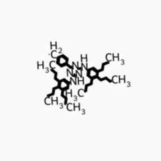 [CH2]c1ccc(-c2nc(Nc3cc(CCCC)c(CCCC)c(CCCC)c3)nc(Nc3cc(CCCC)c(CCCC)c(CCCC)c3)n2)cc1